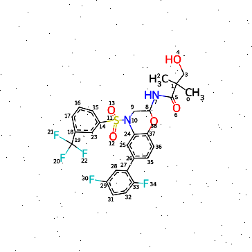 CC(C)(CO)C(=O)NC1CN(S(=O)(=O)c2cccc(C(F)(F)F)c2)c2cc(-c3cc(F)ccc3F)ccc2O1